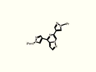 CCCC(C)n1cc(-c2nc(-c3cnn(C(C)C)c3)cn3nccc23)cn1